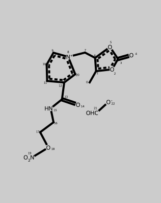 Cc1oc(=O)oc1C[n+]1cccc(C(=O)NCCO[N+](=O)[O-])c1.O=C[O-]